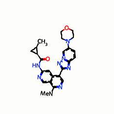 CNc1ncc(-c2nc3ccc(N4CCOCC4)cn3n2)c2cc(NC(=O)[C@H]3C[C@H]3C)ncc12